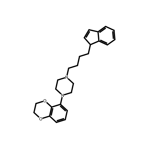 C1=CC(CCCCN2CCN(c3cccc4c3OCCO4)CC2)c2ccccc21